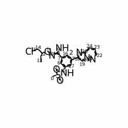 CS(=O)(=O)Nc1cc(/C(N)=N/OC(I)CCl)cc(-c2cn3ncccc3n2)c1